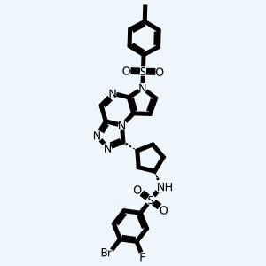 Cc1ccc(S(=O)(=O)n2ccc3c2ncc2nnc([C@@H]4CC[C@H](NS(=O)(=O)c5ccc(Br)c(F)c5)C4)n23)cc1